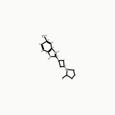 CC1CCCN1[C@H]1C[C@H](c2nc3cc(Cl)ccc3s2)C1